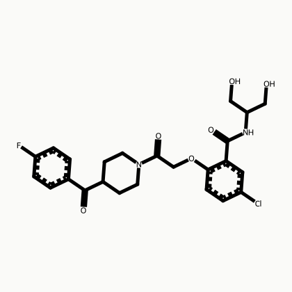 O=C(NC(CO)CO)c1cc(Cl)ccc1OCC(=O)N1CCC(C(=O)c2ccc(F)cc2)CC1